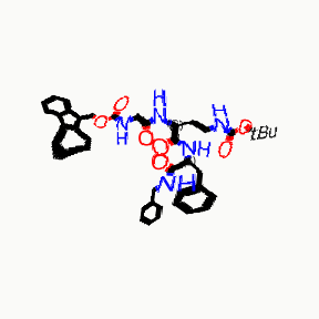 CC(C)(C)OC(=O)NCC[C@H](NC(=O)CNC(=O)OCC1c2ccccc2-c2ccccc21)C(=O)N[C@@H](Cc1ccccc1)C(=O)NCc1ccccc1